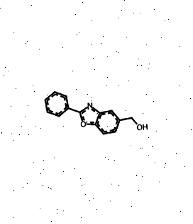 OCc1ccc2oc(-c3ccccc3)nc2c1